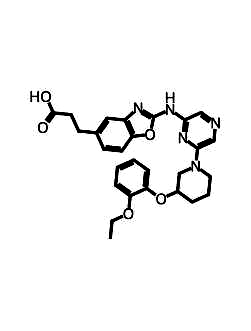 CCOc1ccccc1OC1CCCN(c2cncc(Nc3nc4cc(CCC(=O)O)ccc4o3)n2)C1